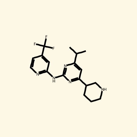 CC(C)c1cc(C2CCCNC2)nc(Nc2cc(C(F)(F)F)ccn2)n1